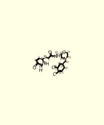 O=C1C=CC(SCC(=O)NC[C@H]2CN(CC3C=C(Cl)C(Cl)=CC3)CCO2)NN1